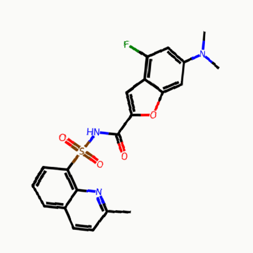 Cc1ccc2cccc(S(=O)(=O)NC(=O)c3cc4c(F)cc(N(C)C)cc4o3)c2n1